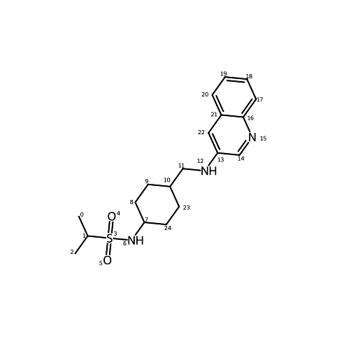 CC(C)S(=O)(=O)NC1CCC(CNc2cnc3ccccc3c2)CC1